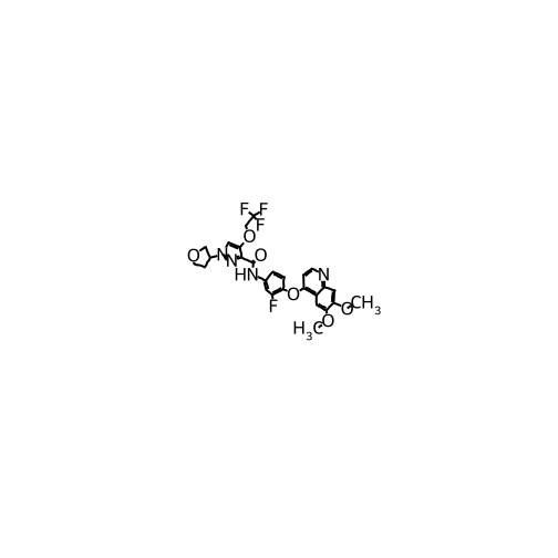 COc1cc2nccc(Oc3ccc(NC(=O)c4nn(C5CCOC5)cc4OCC(F)(F)F)cc3F)c2cc1OC